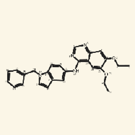 CCOc1cc2ncnc(Nc3ccc4c(ccn4Cc4ccccc4)c3)c2cc1OCC